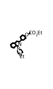 CCOC(=O)COc1ccc(-c2cc3ccccc3c(N3CCN(CC)CC3)n2)cc1